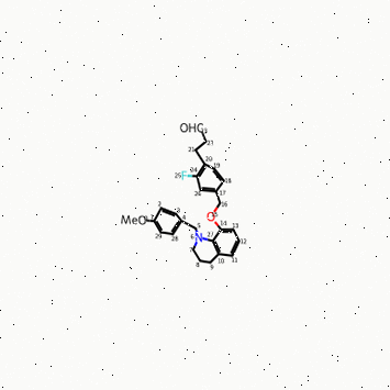 COc1ccc(CN2CCCc3cccc(OCc4ccc(CCC=O)c(F)c4)c32)cc1